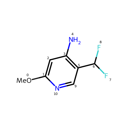 COc1cc(N)c(C(F)F)cn1